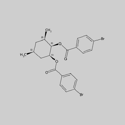 C[C@H]1C[C@@H](C)[C@@H](OC(=O)c2ccc(Br)cc2)[C@@H](OC(=O)c2ccc(Br)cc2)C1